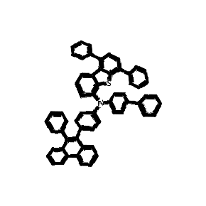 c1ccc(-c2ccc(N(c3ccc(-c4c(-c5ccccc5)c5ccccc5c5ccccc45)cc3)c3cccc4c3sc3c(-c5ccccc5)ccc(-c5ccccc5)c34)cc2)cc1